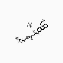 C#CC[n+]1c2c(cc3cc(NC(=O)CCC(=O)NCCSc4nnc(S)s4)ccc31)CCCC2.F[B-](F)(F)F